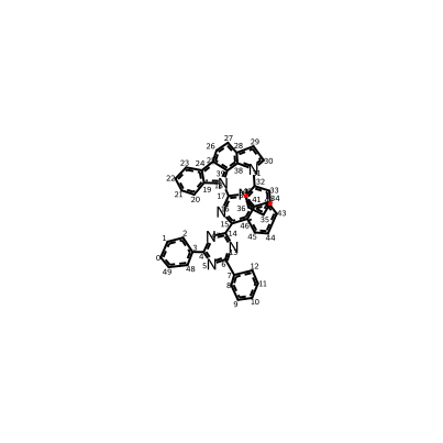 c1ccc(-c2nc(-c3ccccc3)nc(-c3nc(-n4c5ccccc5c5ccc6ccn(-c7ccccc7)c6c54)nc4ccccc34)n2)cc1